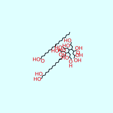 CCCCCCCCC=CCCCCCCCC(=O)O.O=C(O)C(CC(O)CO)C(CC(O)CO)C(CC(O)CO)C(CC(O)CO)C(CCC=CCCCCCCCCCC(O)CO)CC(O)CO